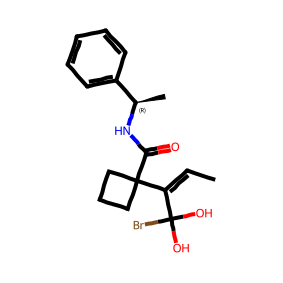 CC=C(C(O)(O)Br)C1(C(=O)N[C@H](C)c2ccccc2)CCC1